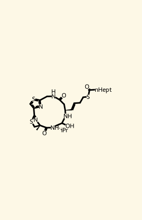 CCCCCCCC(=O)SCC/C=C/[C@@H]1CC(=O)NCc2nc(cs2)C2=N[C@@](C)(CS2)C(=O)N[C@@H](C(C)C)C(O)N1